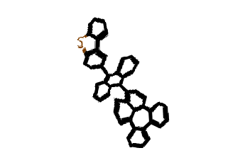 c1ccc2c(c1)-c1ccccc1-c1ccc(-c3c4ccccc4c(-c4ccc5sc6ccccc6c5c4)c4ccccc34)c3cccc-2c13